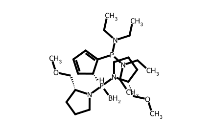 B[PH]([C@@H]1C=CC=C1P(N(CC)CC)N(CC)CC)(N1CCC[C@@H]1COC)N1CCC[C@@H]1COC